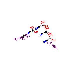 N#CB(O)O.N#CB(O)O.N#CB(O)O.N#CB(O)O.P.P.P.P.P.P.P.P